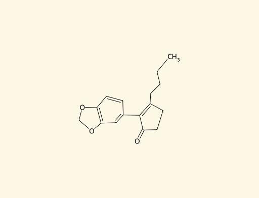 CCCCC1=C(c2ccc3c(c2)OCO3)C(=O)CC1